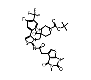 Cn1c(=O)c2c(CC(=O)N=c3scc(-c4ccc(C(F)(F)F)c(F)c4)n3CC3(C(=O)O)CCN(C(=O)OC(C)(C)C)CC3)csc2n(C)c1=O